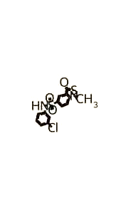 Cn1sc(=O)c2cc(S(=O)(=O)Nc3cccc(Cl)c3)ccc21